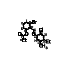 CCC(=O)Oc1cccc(Br)c1COc1cc(C)c(CC)cc1Cl